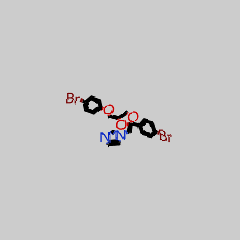 Brc1ccc(OCC2COC(Cn3ccnc3)(c3ccc(Br)cc3)O2)cc1